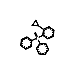 C=P(c1ccccc1)(c1ccccc1)c1ccccc1C1CC1